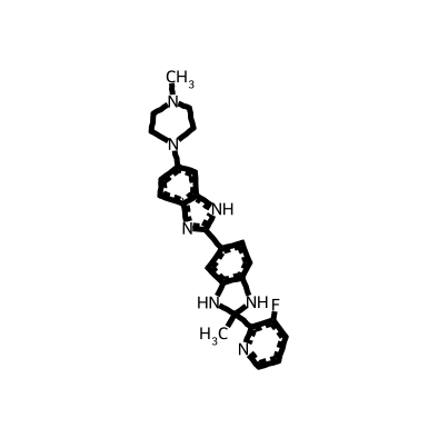 CN1CCN(c2ccc3nc(-c4ccc5c(c4)NC(C)(c4ncccc4F)N5)[nH]c3c2)CC1